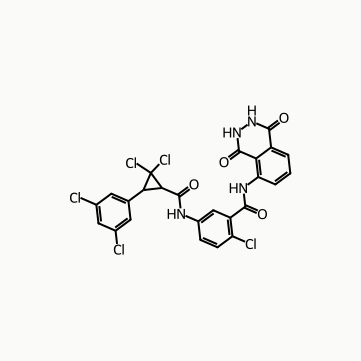 O=C(Nc1cccc2c(=O)[nH][nH]c(=O)c12)c1cc(NC(=O)C2C(c3cc(Cl)cc(Cl)c3)C2(Cl)Cl)ccc1Cl